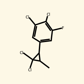 CC1C(c2cc(F)c(Cl)c(Cl)c2)C1(Cl)Cl